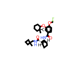 CC1(CNC(=O)[C@H]2[C@@H]3CC[C@@H](C3)[C@H]2NC(=O)c2ccc(OCF)c(OC3CCCC[C@]3(C)C(=O)O)c2)CCC1